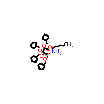 CCCCCC(N)OC1O[C@H](COCc2ccccc2)[C@@H](OCc2ccccc2)[C@H](OCc2ccccc2)[C@@H]1OCc1ccccc1